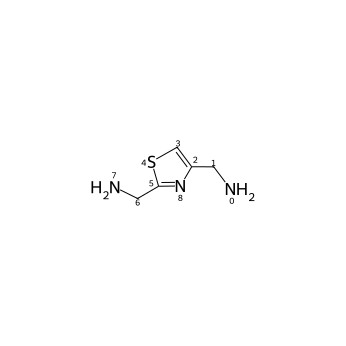 NCc1csc(CN)n1